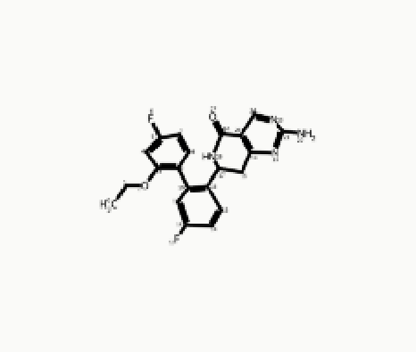 CCOc1cc(F)ccc1-c1cc(F)ccc1C1Cc2nc(N)ncc2C(=O)N1